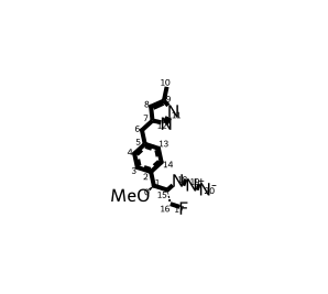 CO[C@H](c1ccc(CC2C=C(C)N=N2)cc1)[C@@H](CF)N=[N+]=[N-]